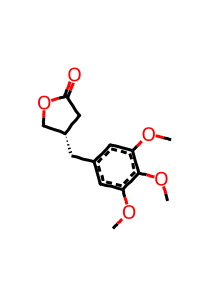 COc1cc(C[C@@H]2COC(=O)C2)cc(OC)c1OC